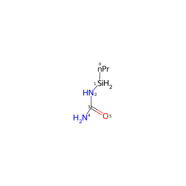 CCC[SiH2]NC(N)=O